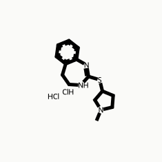 CN1CCC(SC2=Nc3ccccc3CCN2)C1.Cl.Cl